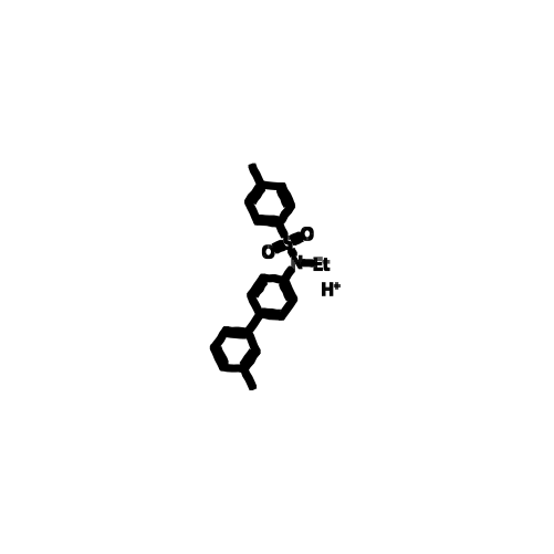 CCN(c1ccc(-c2cccc(C)c2)cc1)S(=O)(=O)c1ccc(C)cc1.[H+]